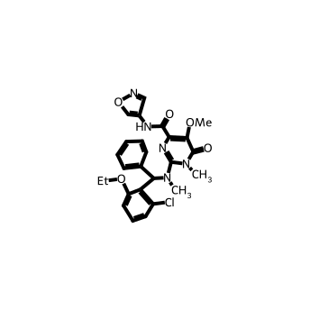 CCOc1cccc(Cl)c1C(c1ccccc1)N(C)c1nc(C(=O)Nc2cnoc2)c(OC)c(=O)n1C